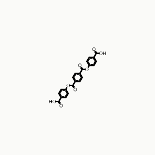 O=C(O)c1ccc(OC(=O)c2ccc(C(=O)Oc3ccc(C(=O)O)cc3)cc2)cc1